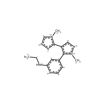 CCNc1cc(-c2c(-c3nncn3C)cnn2C)ccn1